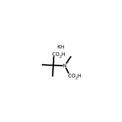 CN(C(=O)O)C(C)(C)C(=O)O.[KH]